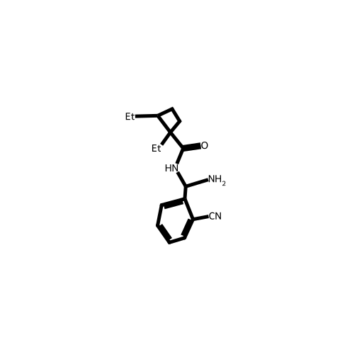 CCC1CCC1(CC)C(=O)NC(N)c1ccccc1C#N